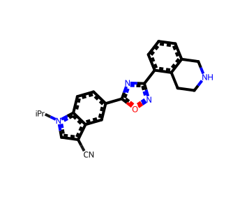 CC(C)n1cc(C#N)c2cc(-c3nc(-c4cccc5c4CCNC5)no3)ccc21